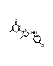 Cc1cc(=O)nc(-n2nc(Nc3ccc(Cl)cc3)cc2C)[nH]1